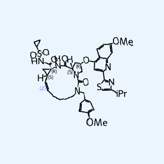 COc1ccc(CN2CCCC/C=C\[C@@H]3C[C@@]3(C(=O)NS(=O)(=O)C3CC3)NC(=O)[C@@H]3C[C@@H](Oc4cc(-c5nc(C(C)C)cs5)nc5cc(OC)ccc45)CN3C2=O)cc1